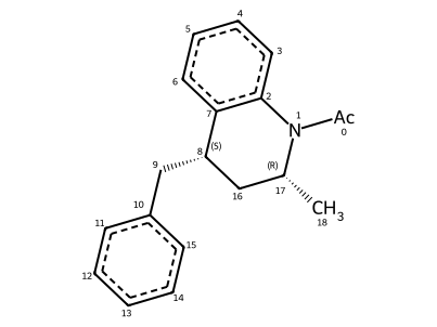 CC(=O)N1c2ccccc2[C@@H](Cc2ccccc2)C[C@H]1C